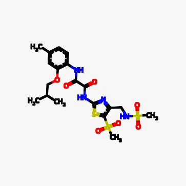 Cc1ccc(NC(=O)C(=O)Nc2nc(CNS(C)(=O)=O)c(S(C)(=O)=O)s2)c(OCC(C)C)c1